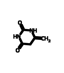 C=C1CC(=O)NC(=O)N1